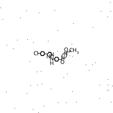 CCC(=O)N1CCN(C(=O)c2ccc(Nc3nccc(-c4ccc(Cl)cc4)n3)cc2)CC1